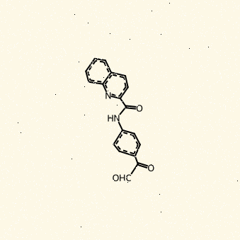 O=CC(=O)c1ccc(NC(=O)c2ccc3ccccc3n2)cc1